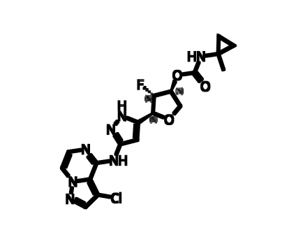 CC1(NC(=O)O[C@H]2CO[C@@H](c3cc(Nc4nccn5ncc(Cl)c45)n[nH]3)[C@@H]2F)CC1